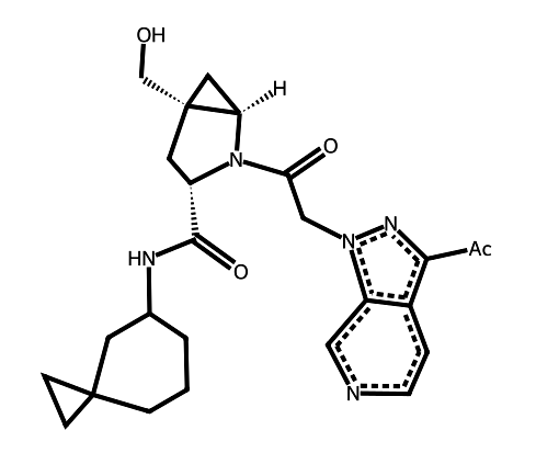 CC(=O)c1nn(CC(=O)N2[C@H](C(=O)NC3CCCC4(CC4)C3)C[C@@]3(CO)C[C@@H]23)c2cnccc12